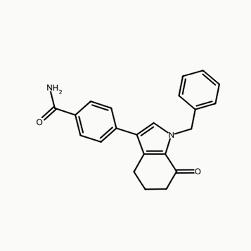 NC(=O)c1ccc(-c2cn(Cc3ccccc3)c3c2CCCC3=O)cc1